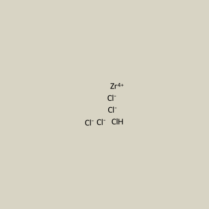 Cl.[Cl-].[Cl-].[Cl-].[Cl-].[Zr+4]